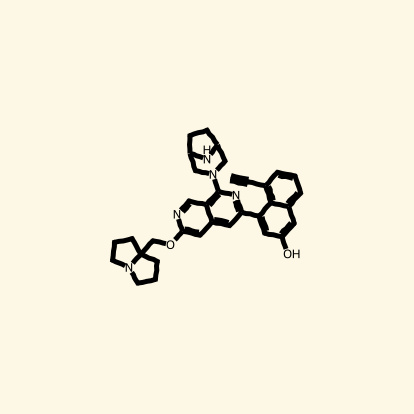 C#Cc1cccc2cc(O)cc(-c3cc4cc(OCC56CCCN5CCC6)ncc4c(N4CC5CCC(C4)N5)n3)c12